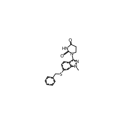 Cn1nc(N2CCC(=O)NC2=O)c2ccc(SCc3ccccc3)cc21